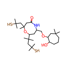 CC(C)(S)CC1(C)CC(=O)NC(COC2CC(C)(C)CCCC2O)CC(C(C)(C)CC(C)(C)S)O1